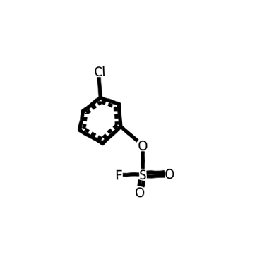 O=S(=O)(F)Oc1cccc(Cl)c1